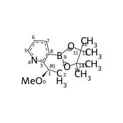 CO[C@H](C)c1ncccc1B1OC(C)(C)C(C)(C)O1